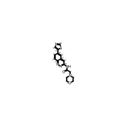 O=C(CN1CCOCC1)Nc1cc2cc(-c3cncs3)ccc2nn1